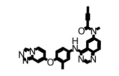 CC#CC(=O)N(C)c1ccc2ncnc(Nc3ccc(Oc4ccn5cnnc5c4)c(C)c3)c2c1